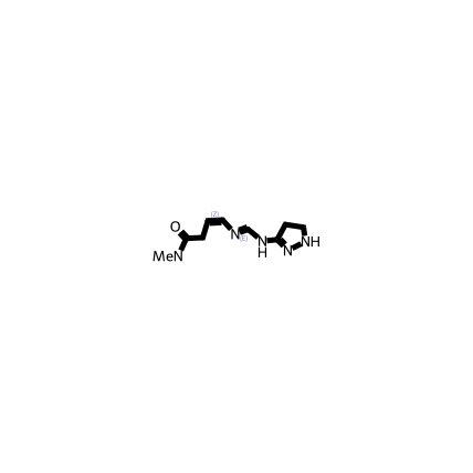 CNC(=O)C/C=C\N=C\NC1=NNCC1